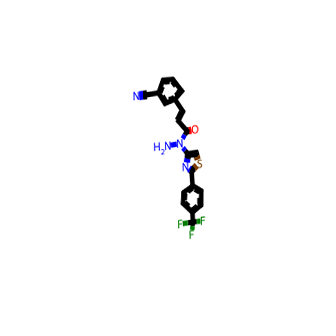 N#Cc1cccc(C=CC(=O)N(N)c2csc(-c3ccc(C(F)(F)F)cc3)n2)c1